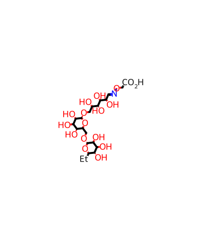 CCC1O[C@H](OCC2O[C@H](OCC(O)[C@@H](O)C(O)C(O)/C=N/OCC(=O)O)C(O)C(O)[C@@H]2O)C(O)C(O)[C@@H]1O